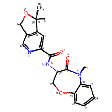 CN1C(=O)[C@@H](NC(=O)c2cc3c(cn2)CO[C@@]3(C)C(F)(F)F)COc2ccccc21